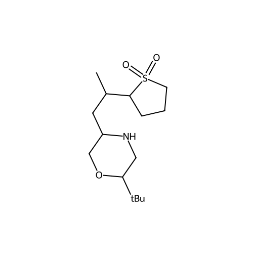 CC(CC1COC(C(C)(C)C)CN1)C1CCCS1(=O)=O